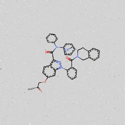 COC(=O)COc1ccc2c(C(=O)N(c3ccccc3)c3ccccc3)nn(-c3ccccc3C(=O)N3Cc4ccccc4C[C@H]3CN)c2c1